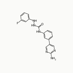 Nc1ncc(-c2cccc(NC(=O)NNc3cccc(F)c3)c2)cn1